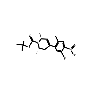 Cc1cc([N+](=O)[O-])c(F)cc1C1=C[C@@H](C)N(C(=O)OC(C)(C)C)[C@@H](C)C1